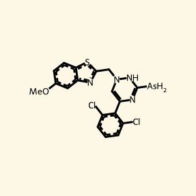 COc1ccc2sc(CN3C=C(c4c(Cl)cccc4Cl)N=C([AsH2])N3)nc2c1